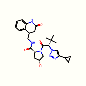 CC(C)(C)[C@@H](C(=O)N1C[C@H](O)C[C@H]1C(=O)NCC1CC(=O)Nc2ccccc21)n1cc(C2CC2)nn1